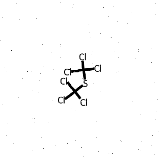 ClC(Cl)(Cl)SC(Cl)(Cl)Cl